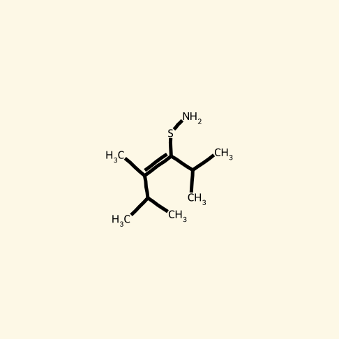 C/C(=C(\SN)C(C)C)C(C)C